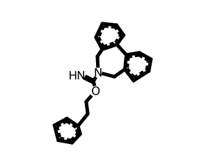 N=C(OCCc1ccccc1)N1Cc2ccccc2-c2ccccc2C1